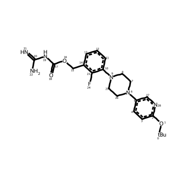 CC(C)(C)Oc1ccc(N2CCN(c3cccc(COC(=O)NC(=N)N)c3F)CC2)cn1